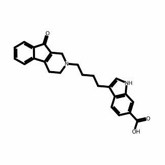 O=C(O)c1ccc2c(CCCCN3CCC4=C(C3)C(=O)c3ccccc34)c[nH]c2c1